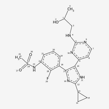 CC(O)CNc1nccc(-c2[nH]c(C3CC3)nc2-c2cccc(NS(C)(=O)=O)c2F)n1